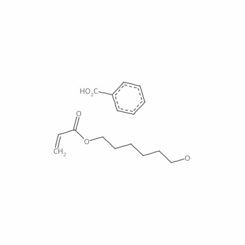 C=CC(=O)OCCCCCC[O].O=C(O)c1ccccc1